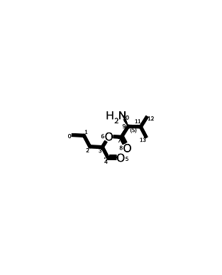 CCCC([C]=O)OC(=O)[C@@H](N)C(C)C